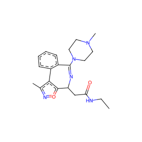 CCNC(=O)CC1N=C(N2CCN(C)CC2)c2ccccc2-c2c(C)noc21